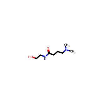 CN(C)CCCC(=O)NCCO